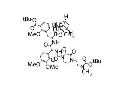 COc1ccc(C(NC(=O)N2CCN(CCN(C)C(=O)OC(C)(C)C)C(=O)C2=O)C(=O)NC(Cc2cccc(C(=O)OC(C)(C)C)c2OC)B2O[C@@H]3C[C@@H]4C[C@@H](C4(C)C)[C@]3(C)O2)c(Cl)c1OC